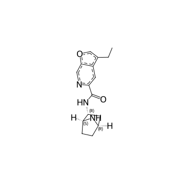 CCc1coc2cnc(C(=O)N[C@@H]3C[C@H]4CC[C@@H]3N4)cc12